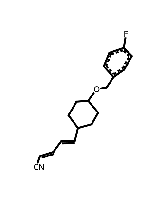 N#CC=CC=CC1CCC(OCc2ccc(F)cc2)CC1